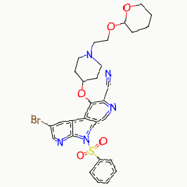 N#Cc1ncc2c(c1OC1CCN(CCOC3CCCCO3)CC1)c1cc(Br)cnc1n2S(=O)(=O)c1ccccc1